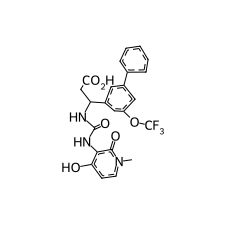 Cn1ccc(O)c(NC(=O)NC(CC(=O)O)c2cc(OC(F)(F)F)cc(-c3ccccc3)c2)c1=O